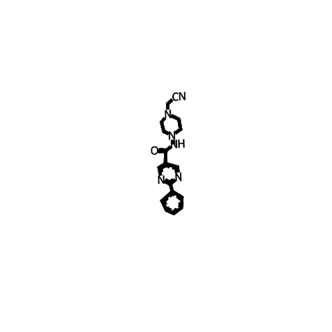 N#CCN1CCN(NC(=O)c2cnc(-c3ccccc3)nc2)CC1